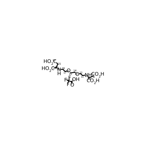 O=C(O)C(F)(F)F.O=C(O)CC(NCCOCCOCCNC(CC(=O)O)C(=O)O)C(=O)O